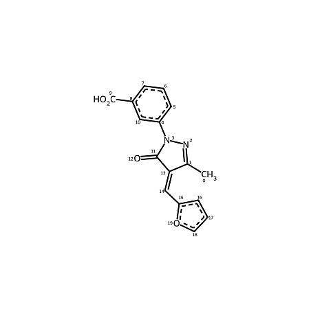 CC1=NN(c2cccc(C(=O)O)c2)C(=O)/C1=C/c1ccco1